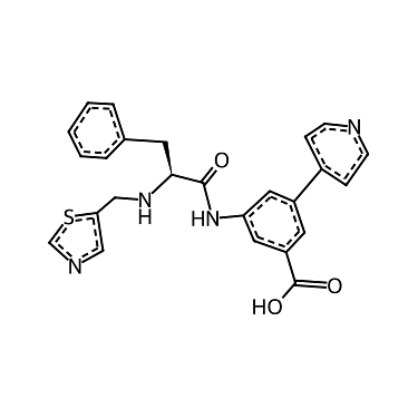 O=C(O)c1cc(NC(=O)[C@H](Cc2ccccc2)NCc2cncs2)cc(-c2ccncc2)c1